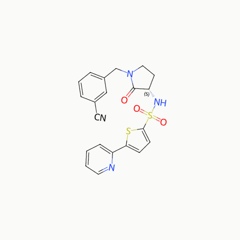 N#Cc1cccc(CN2CC[C@H](NS(=O)(=O)c3ccc(-c4ccccn4)s3)C2=O)c1